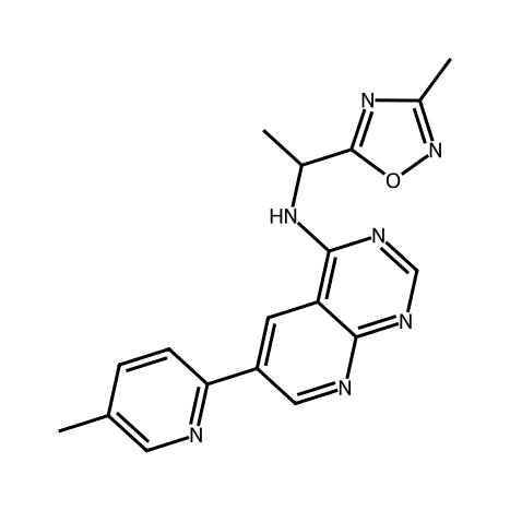 Cc1ccc(-c2cnc3ncnc(NC(C)c4nc(C)no4)c3c2)nc1